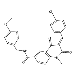 COc1ccc(CNC(=O)c2ccc3c(c2)C(=O)/C(=C\c2ccc(Cl)cc2)C(=O)N3C)cc1